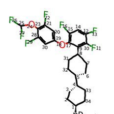 CCCCC[C@H]1CC[C@H]([C@H]2CC[C@H](c3c(F)c(F)[c]c(F)c3Oc3cc(F)c(OC(F)F)c(F)c3)CC2)CC1